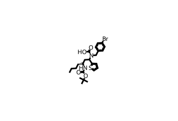 CCCC[C@@H](CC(c1cccs1)N(Cc1ccc(Br)cc1)C(=O)O)NC(=O)OC(C)(C)C